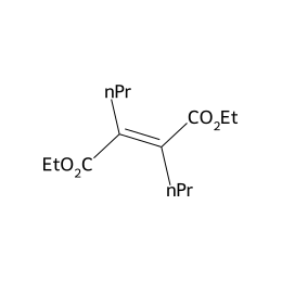 CCCC(C(=O)OCC)=C(CCC)C(=O)OCC